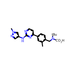 Cc1cc(-c2ccnc(Nc3cnn(C)c3)n2)ccc1CN(C(=O)O)C(C)(C)C